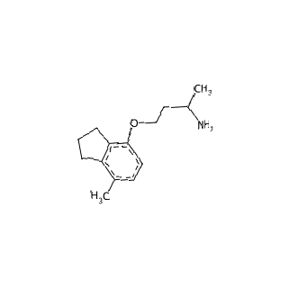 Cc1ccc(OCCC(C)N)c2c1CCC2